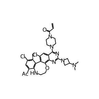 C=CC(=O)N1CCN(c2nc(N3CC(N(C)C)C3)nc3c4c(c(Cl)cc23)-c2c(F)c(Cl)cc(C(C)=O)c2NCCO4)CC1